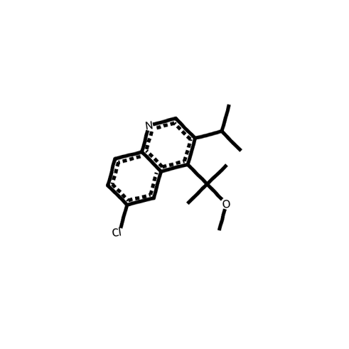 COC(C)(C)c1c(C(C)C)cnc2ccc(Cl)cc12